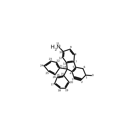 CC1C#CC2=C(C1)c1ccc(N)cc1C2(c1ccccc1)c1ccccc1